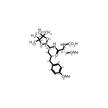 COC[C@@H](NC(=O)O)C(=O)N[C@@H](CCCc1ccc(OC)cc1)B1OC(C)(C)C(C)(C)O1